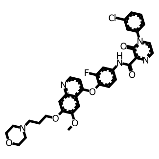 COc1cc2c(Oc3ccc(NC(=O)c4nccn(-c5cccc(Cl)c5)c4=O)cc3F)ccnc2cc1OCCCN1CCOCC1